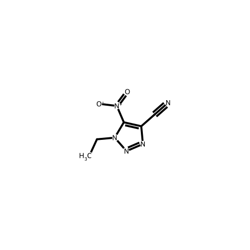 CCn1nnc(C#N)c1[N+](=O)[O-]